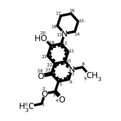 CCOC(=O)c1cn(CC)c2cc(N3CCCCC3)c(O)cc2c1=O